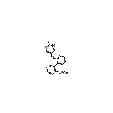 COc1ccncc1-c1cccnc1Oc1cnc(I)nc1